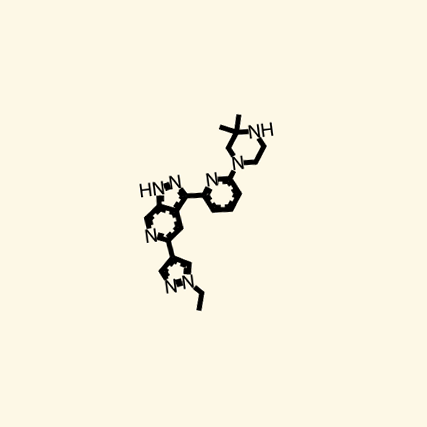 CCn1cc(-c2cc3c(-c4cccc(N5CCNC(C)(C)C5)n4)n[nH]c3cn2)cn1